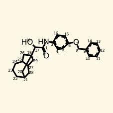 O=C(Nc1ccc(OCc2ccccc2)cc1)C(O)C12CC3CCCC(C1)C(C3)C2